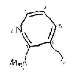 COc1ncccc1I